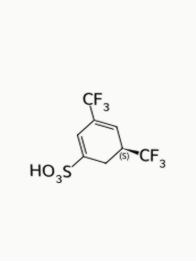 O=S(=O)(O)C1=CC(C(F)(F)F)=C[C@@H](C(F)(F)F)C1